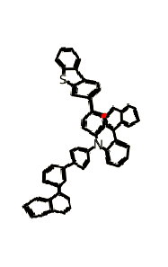 c1cc(-c2ccc(N(c3ccc(-c4ccc5c(c4)sc4ccccc45)cc3)c3ccccc3-c3cccc4ccccc34)cc2)cc(-c2cccc3ccccc23)c1